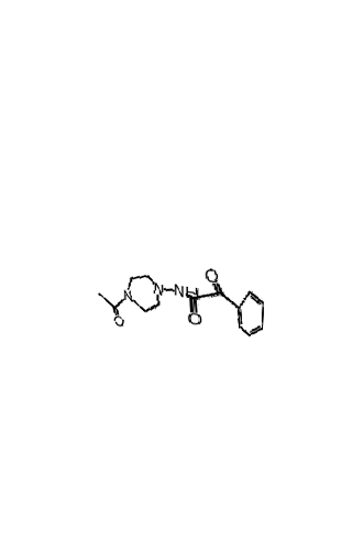 CC(=O)N1CCN(NC(=O)C(=O)c2ccccc2)CC1